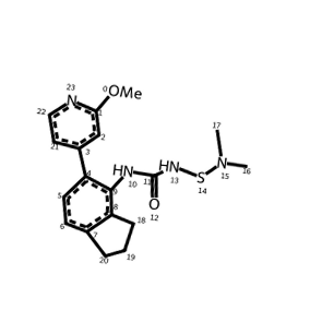 COc1cc(-c2ccc3c(c2NC(=O)NSN(C)C)CCC3)ccn1